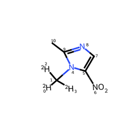 [2H]C([2H])([2H])n1c([N+](=O)[O-])cnc1C